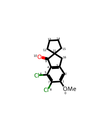 COc1cc2c(c(Cl)c1Cl)C(=O)C1(CCCC1)C2